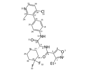 CCc1nocc1C(=O)NC(C(=O)Nc1ccc(-c2c(Cl)ccnc2C)cc1)[C@H]1CCCC(F)(F)C1